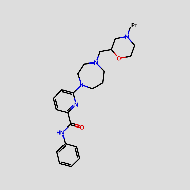 CC(C)N1CCOC(CN2CCCN(c3cccc(C(=O)Nc4ccccc4)n3)CC2)C1